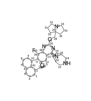 C#Cc1cccc2cccc(-c3c(Cl)cc4c(N5C6CCC5CNC6)nc(OCC56CCCN5CCC6)nc4c3F)c12